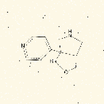 c1cc(C23CNCC2CON3)ccn1